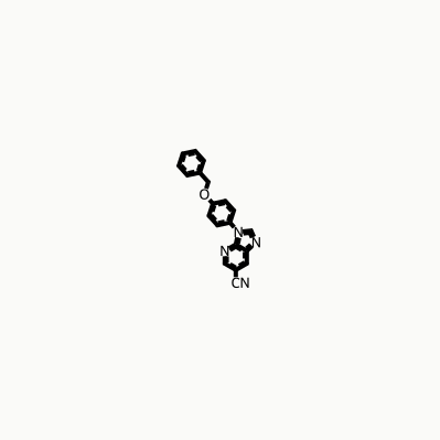 N#Cc1cnc2c(c1)ncn2-c1ccc(OCc2ccccc2)cc1